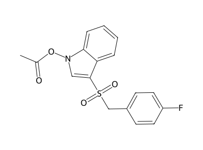 CC(=O)On1cc(S(=O)(=O)Cc2ccc(F)cc2)c2ccccc21